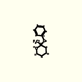 FC(F)(F)C1(Oc2ccccc2)CCCCO1